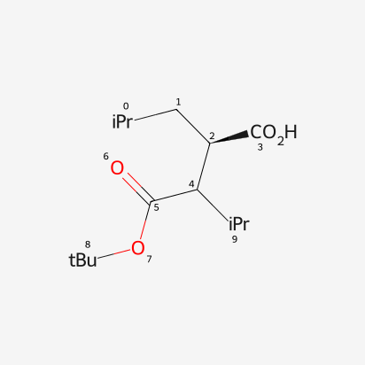 CC(C)C[C@@H](C(=O)O)C(C(=O)OC(C)(C)C)C(C)C